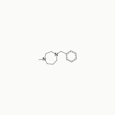 CN1CCCN(Cc2ccccc2)CC1